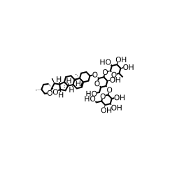 CC1O[C@@H](OC2[C@H](OC3CC[C@@]4(C)C(=CC[C@H]5[C@@H]6C[C@@H]7O[C@]8(CC[C@@H](C)CO8)[C@@H](C)[C@@H]7[C@@]6(C)CC[C@@H]54)C3)OC(CO)[C@@H](O[C@@H]3OC(CO)[C@@H](O)[C@H](O)C3O)[C@@H]2O)C(O)[C@@H](O)[C@H]1O